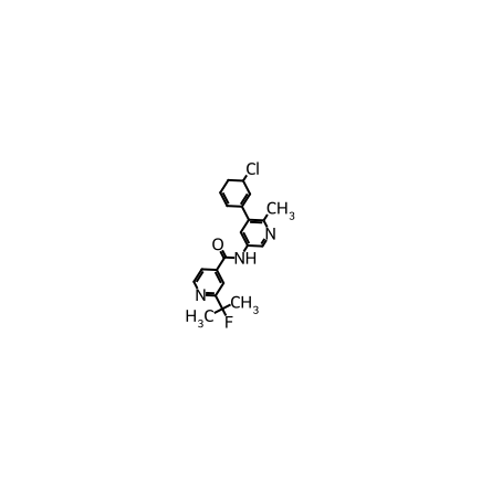 Cc1ncc(NC(=O)c2ccnc(C(C)(C)F)c2)cc1C1=CC(Cl)CC=C1